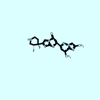 Cc1cn2nc(-c3cc(=O)n4cc([C@]5(F)CCNC[C@H]5F)sc4n3)cc(C)c2n1